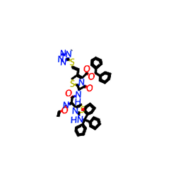 C=CO/N=C(/C(=O)NC1C(=O)N2C(C(=O)OC(c3ccccc3)c3ccccc3)=C(/C=C/Sc3nnnn3C)CSC12)c1csc(NC(c2ccccc2)(c2ccccc2)c2ccccc2)n1